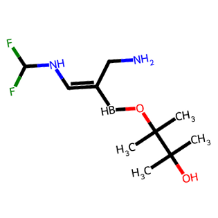 CC(C)(O)C(C)(C)OB/C(=C/NC(F)F)CN